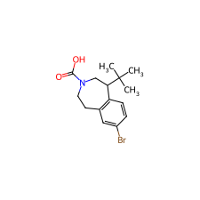 CC(C)(C)C1CN(C(=O)O)CCc2cc(Br)ccc21